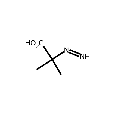 CC(C)(N=N)C(=O)O